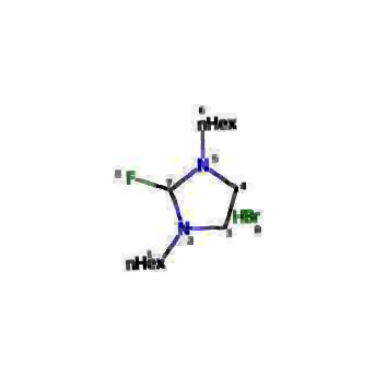 Br.CCCCCCN1CCN(CCCCCC)C1F